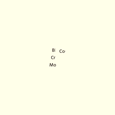 [B].[Co].[Cr].[Mo]